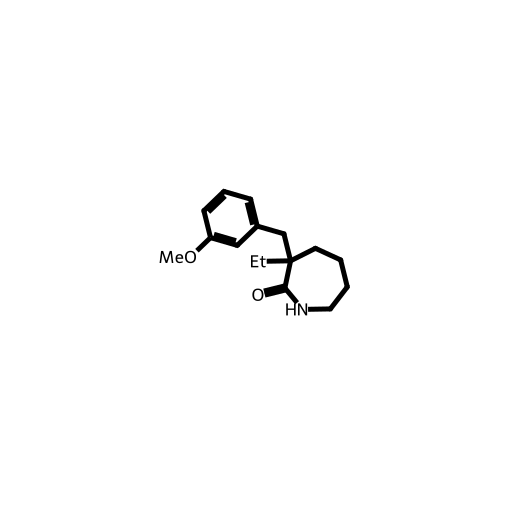 CCC1(Cc2cccc(OC)c2)CCCCNC1=O